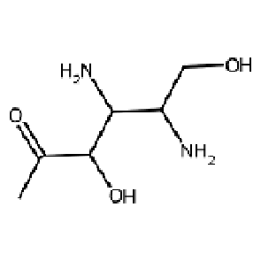 CC(=O)C(O)C(N)C(N)CO